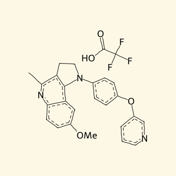 COc1ccc2nc(C)c3c(c2c1)N(c1ccc(Oc2cccnc2)cc1)CC3.O=C(O)C(F)(F)F